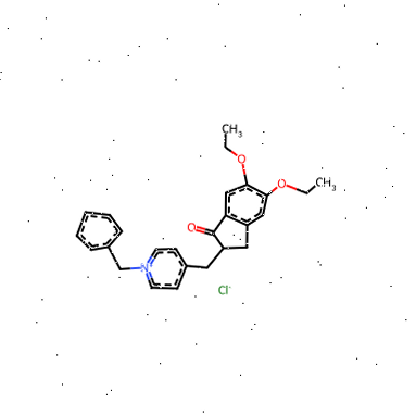 CCOc1cc2c(cc1OCC)C(=O)C(Cc1cc[n+](Cc3ccccc3)cc1)C2.[Cl-]